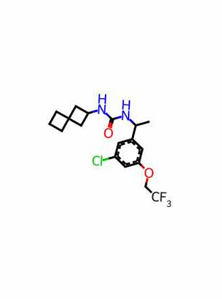 CC(NC(=O)NC1CC2(CCC2)C1)c1cc(Cl)cc(OCC(F)(F)F)c1